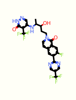 CC(Nc1cn[nH]c(=O)c1C(F)(F)F)C(O)CCn1ccc2cc(-c3ncc(C(F)(F)F)cn3)c(F)cc2c1=O